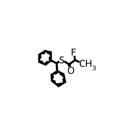 CC(F)C(=O)SC(c1ccccc1)c1ccccc1